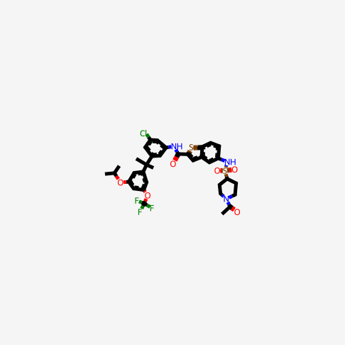 CC(=O)N1CCC(S(=O)(=O)Nc2ccc3sc(C(=O)Nc4cc(Cl)cc(C(C)(C)c5cc(OC(C)C)cc(OC(F)(F)F)c5)c4)cc3c2)CC1